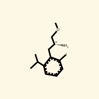 COC[C@H](N)Cc1c(I)cccc1C(C)C